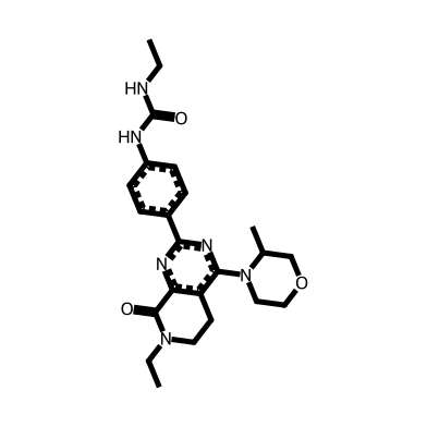 CCNC(=O)Nc1ccc(-c2nc3c(c(N4CCOCC4C)n2)CCN(CC)C3=O)cc1